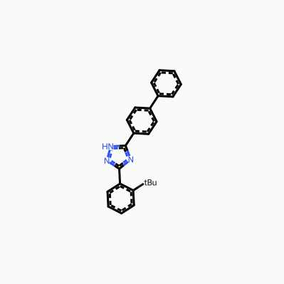 CC(C)(C)c1ccccc1-c1n[nH]c(-c2ccc(-c3ccccc3)cc2)n1